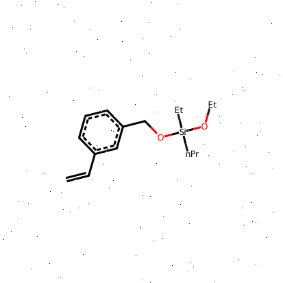 C=Cc1cccc(CO[Si](CC)(CCC)OCC)c1